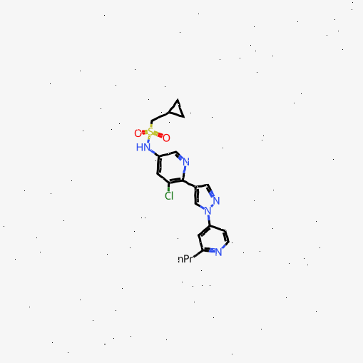 CCCc1cc(-n2cc(-c3ncc(NS(=O)(=O)CC4CC4)cc3Cl)cn2)ccn1